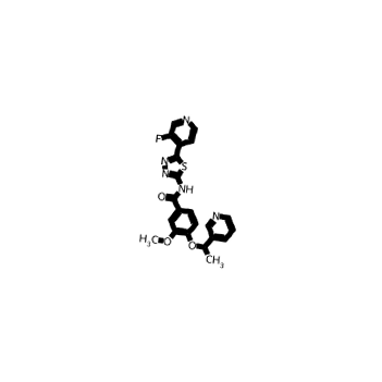 COc1cc(C(=O)Nc2nnc(-c3ccncc3F)s2)ccc1OC(C)c1cccnc1